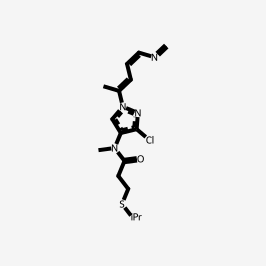 C=N/C=C\C=C(/C)n1cc(N(C)C(=O)CCSC(C)C)c(Cl)n1